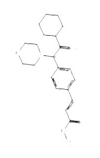 O=C(C=Cc1ccc(C(C(=O)C2CCCCC2)N2CCNCC2)cc1)NO